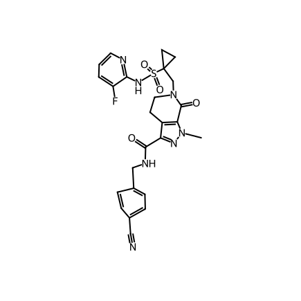 Cn1nc(C(=O)NCc2ccc(C#N)cc2)c2c1C(=O)N(CC1(S(=O)(=O)Nc3ncccc3F)CC1)CC2